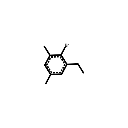 CCc1cc(C)cc(C)c1Br